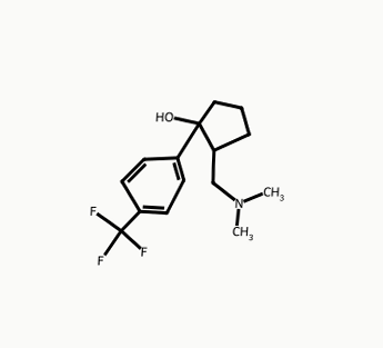 CN(C)CC1CCCC1(O)c1ccc(C(F)(F)F)cc1